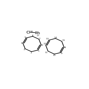 C1=CCCC=CCC1.C1=CCCC=CCC1.[Cl][Rh]